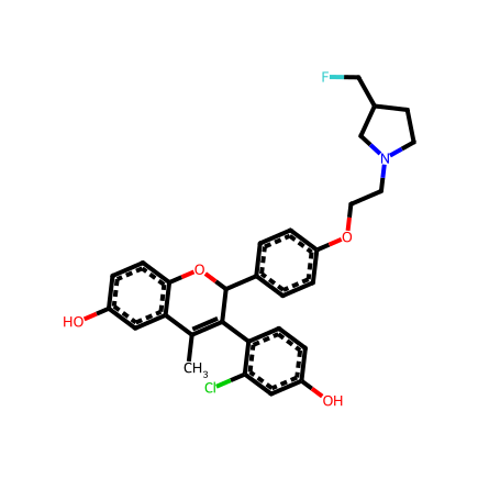 CC1=C(c2ccc(O)cc2Cl)C(c2ccc(OCCN3CCC(CF)C3)cc2)Oc2ccc(O)cc21